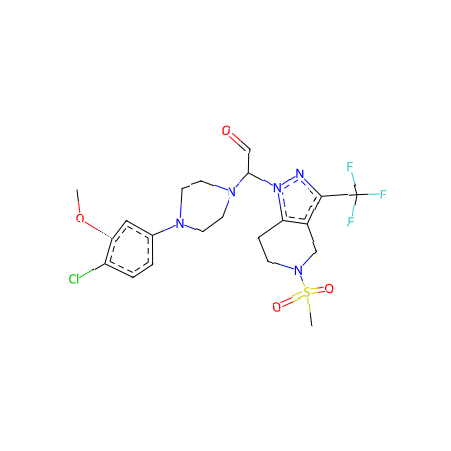 COc1cc(N2CCN(C(C=O)n3nc(C(F)(F)F)c4c3CCN(S(C)(=O)=O)C4)CC2)ccc1Cl